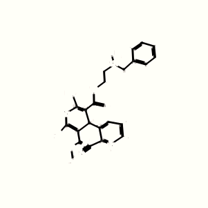 COC(=O)C1=C(C)NC(C)=C(C(=O)OCCN(C)Cc2ccccc2)C1c1cccnc1C#N